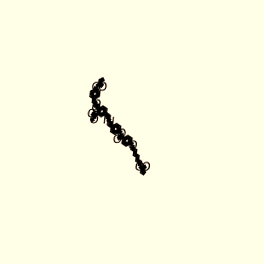 C=CC(=O)OCCCCCCOc1ccc(C(=O)Oc2ccc(/C=N/N=C/c3ccc(OOCc4ccc(OC(=O)C=C)cc4)c(C(=O)OC)c3)cc2)cc1